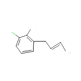 CC=CCc1[c]ccc(Cl)c1C